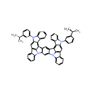 CC(C)c1cccc(-n2c3ccccc3c3c4c5cc6c7c8c9ccccc9n(-c9cccc(C(C)C)c9)c8cc8c9ccccc9n(c6cc5n5c6ccccc6c(cc32)c45)c87)c1